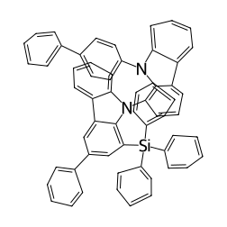 c1ccc(-c2ccc(-n3c4ccccc4c4cccc(-n5c6ccccc6c6cc(-c7ccccc7)cc([Si](c7ccccc7)(c7ccccc7)c7ccccc7)c65)c43)cc2)cc1